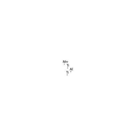 [Al].[Mn].[Ti].[Ti]